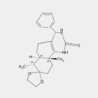 C[C@@H]1[C@H]2CCC3=C(NC(=S)NC3c3ccccc3)[C@]2(C)CCC12OCCO2